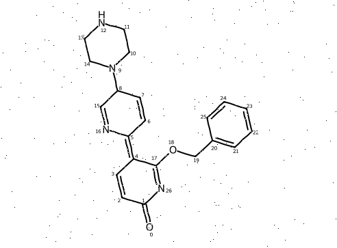 O=C1C=CC(=C2C=CC(N3CCNCC3)C=N2)C(OCc2ccccc2)=N1